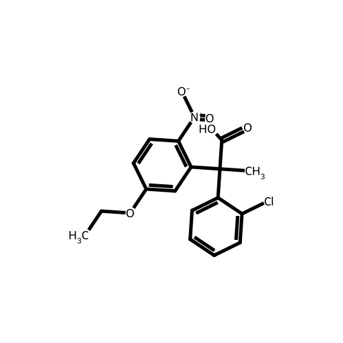 CCOc1ccc([N+](=O)[O-])c(C(C)(C(=O)O)c2ccccc2Cl)c1